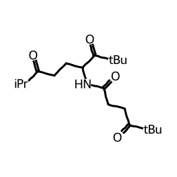 CC(C)C(=O)CCC(NC(=O)CCC(=O)C(C)(C)C)C(=O)C(C)(C)C